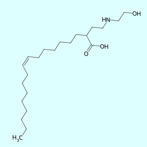 CCCCCCCC/C=C\CCCCCCC(CCNCCO)C(=O)O